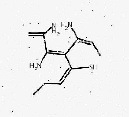 C=C(N)/C(N)=C(C(\N)=C/C)/C(S)=C\CC